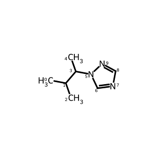 CC(C)C(C)n1cncn1